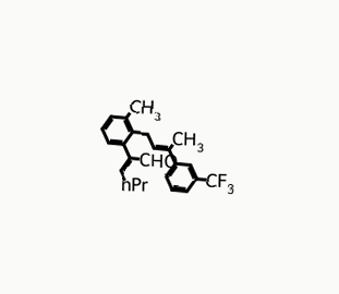 CCC/C=C(\C=O)c1cccc(C)c1C/C=C(\C)c1cccc(C(F)(F)F)c1